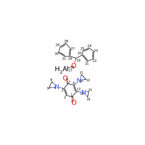 O=C1C=C(N2CC2)C(=O)C(N2CC2)=C1N1CC1.[AlH2][O]C(c1ccccc1)c1ccccc1